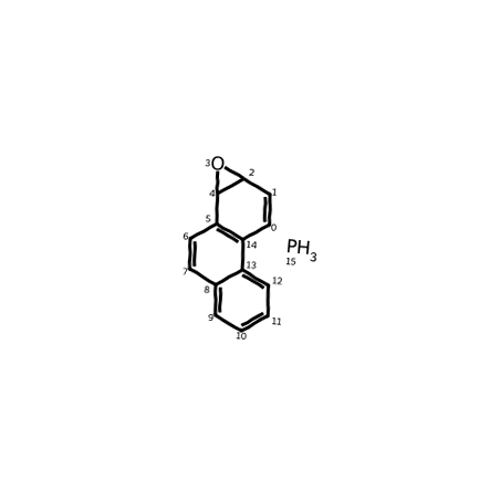 C1=CC2OC2c2ccc3ccccc3c21.P